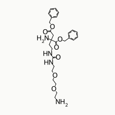 NCCOCCOCCNC(=O)NCCC(N)(CC(=O)OCc1ccccc1)C(=O)OCc1ccccc1